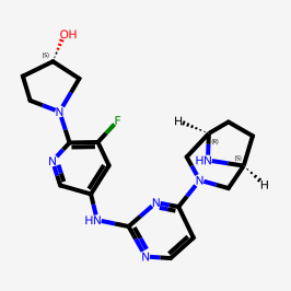 O[C@H]1CCN(c2ncc(Nc3nccc(N4C[C@H]5CC[C@@H](C4)N5)n3)cc2F)C1